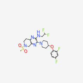 CS(=O)(=O)N1CCc2nc(NCC(F)F)c(N3CCC(Oc4ccc(F)cc4F)CC3)nc2C1